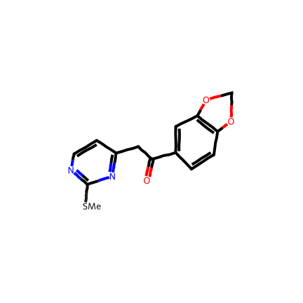 CSc1nccc(CC(=O)c2ccc3c(c2)OCO3)n1